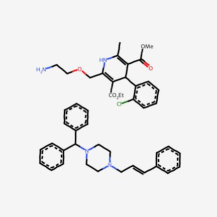 C(=C\c1ccccc1)/CN1CCN(C(c2ccccc2)c2ccccc2)CC1.CCOC(=O)C1=C(COCCN)NC(C)=C(C(=O)OC)C1c1ccccc1Cl